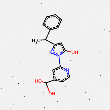 CC(c1ccccc1)c1cc(O)n(-c2cc(C(O)O)ccn2)n1